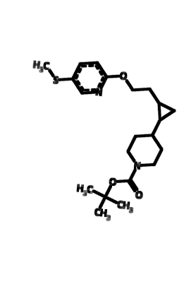 CSc1ccc(OCCC2CC2C2CCN(C(=O)OC(C)(C)C)CC2)nc1